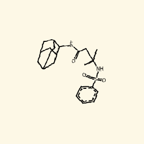 CC(C)(CC(=O)NC1C2CC3CC(C2)CC1C3)NS(=O)(=O)c1ccccc1